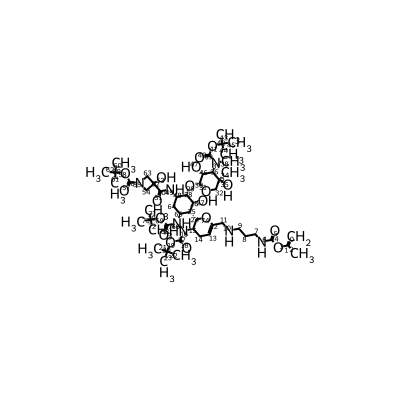 C=C(C)OC(=O)NCCCNCC1=CC[C@@H](NC(=O)OC(C)(C)C)C([C@H]2[C@H](O)[C@@H](O[C@H]3OC[C@](C)(O)[C@H](N(C)C(=O)OC(C)(C)C)[C@H]3O)[C@H](NC(=O)C3(O)CN(C(=O)OC(C)(C)C)C3)C[C@@H]2NC(=O)OC(C)(C)C)O1